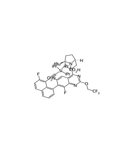 CC(C)[Si](C#Cc1c(F)ccc2cccc(-c3c([N+](=O)[O-])cc4c(N5C[C@@H]6CC[C@@](C(C)(C)C)(C5)N6C(=O)O)nc(OCC(F)(F)F)nc4c3F)c12)(C(C)C)C(C)C